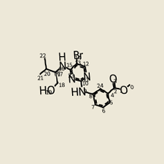 COC(=O)c1cccc(Nc2ncc(Br)c(N[C@@H](CO)C(C)C)n2)c1